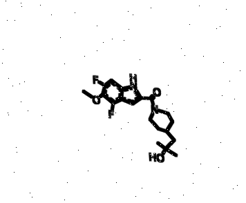 COc1c(F)cc2[nH]c(C(=O)N3CCC(CC(C)(C)O)CC3)cc2c1F